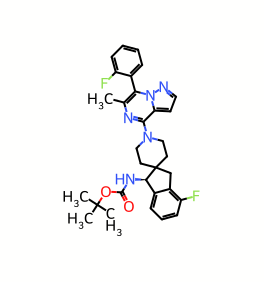 Cc1nc(N2CCC3(CC2)Cc2c(F)cccc2[C@H]3NC(=O)OC(C)(C)C)c2ccnn2c1-c1ccccc1F